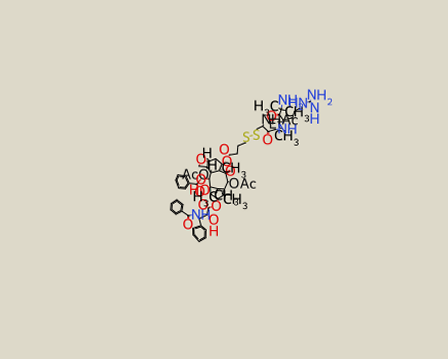 CCC(C)(N[C@H](CCCNC(=N)N)C(=O)C(C)(C)N)C(=O)[C@@H](CSSCCCC(=O)O[C@H]1C[C@H]2OC[C@@]2(OC(C)=O)[C@H]2[C@H](OC(=O)c3ccccc3)[C@]3(O)C[C@H](OC(=O)[C@H](O)[C@@H](NC(=O)c4ccccc4)c4ccccc4)C(C)=C([C@@H](OC(C)=O)C(=O)[C@]12C)C3(C)C)NC(C)=O